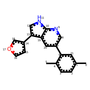 Cc1ccc(C)c(-c2cnc3[nH]cc(-c4ccoc4)c3c2)c1